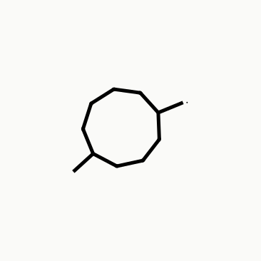 [CH2]C1CCCCC(C)CCC1